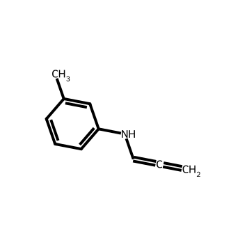 C=C=CNc1cccc(C)c1